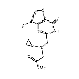 CNC(=O)CN(Cc1nc2c(C)csc2c(=O)[nH]1)C1CC1